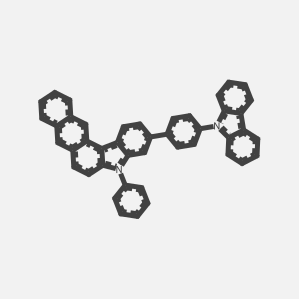 c1ccc(-n2c3cc(-c4ccc(-n5c6ccccc6c6ccccc65)cc4)ccc3c3c4cc5ccccc5cc4ccc32)cc1